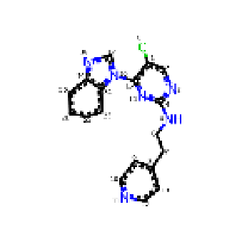 Clc1cnc(NCCc2ccncc2)nc1-n1cnc2ccccc21